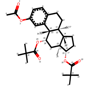 CC(=O)Oc1ccc2c(c1)[C@@H]1[C@@H](CC2)[C@@H]2CC[C@H](OC(=O)C(C)(C)C)[C@@]2(C)C[C@@H]1OC(=O)C(C)(C)C